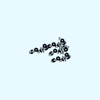 Fc1ccc2c(c1)N(c1ncc(Oc3cccc(N4CCOCC4)c3)cn1)CCO2.Fc1cccc2c1OCCN2c1ncc(Oc2cccc(N3CCOCC3)c2)cn1.N#Cc1ccc2c(c1)N(c1ncc(Oc3cccc(N4CCOCC4)c3)cn1)CCO2.c1cc(Oc2cnc(N3CCOc4ccccc43)nc2)cc(N2CCOCC2)c1